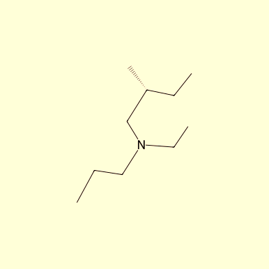 CCCN(CC)C[C@H](C)CC